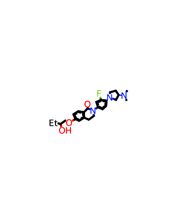 CCC(O)COc1ccc2c(c1)CCN(c1ccc(N3CC[C@@H](N(C)C)C3)c(F)c1)C2=O